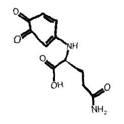 NC(=O)CC[C@H](NC1=CC(=O)C(=O)C=C1)C(=O)O